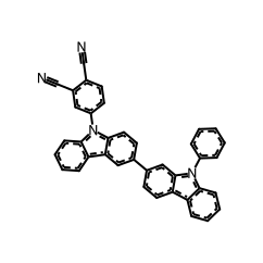 N#Cc1ccc(-n2c3ccccc3c3cc(-c4ccc5c6ccccc6n(-c6ccccc6)c5c4)ccc32)cc1C#N